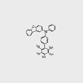 [2H]c1c([2H])c([2H])c(-c2ccc(N(c3ccccc3)c3ccc4oc5ccccc5c4c3)cc2)c([2H])c1[2H]